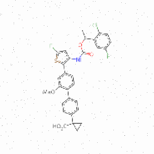 COc1cc(-c2sc(F)cc2NC(=O)OC(C)c2cc(F)ccc2Cl)ccc1-c1ccc(C2(C(=O)O)CC2)cc1